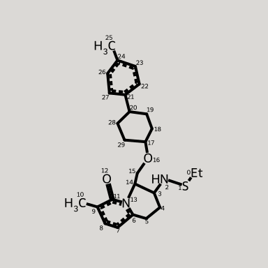 CCSNC1CCc2ccc(C)c(=O)n2C1COC1CCC(c2ccc(C)cc2)CC1